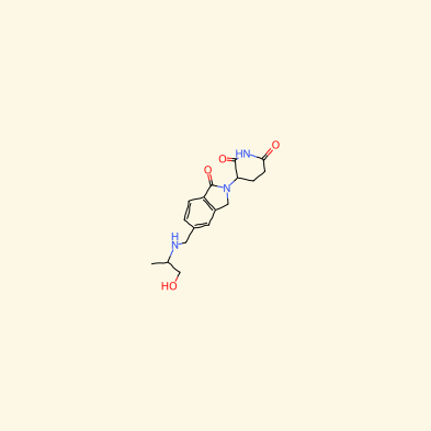 CC(CO)NCc1ccc2c(c1)CN(C1CCC(=O)NC1=O)C2=O